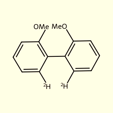 [2H]c1cccc(OC)c1-c1c([2H])cccc1OC